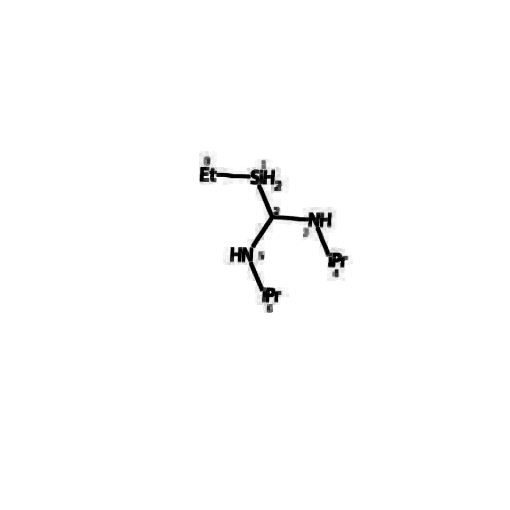 CC[SiH2]C(NC(C)C)NC(C)C